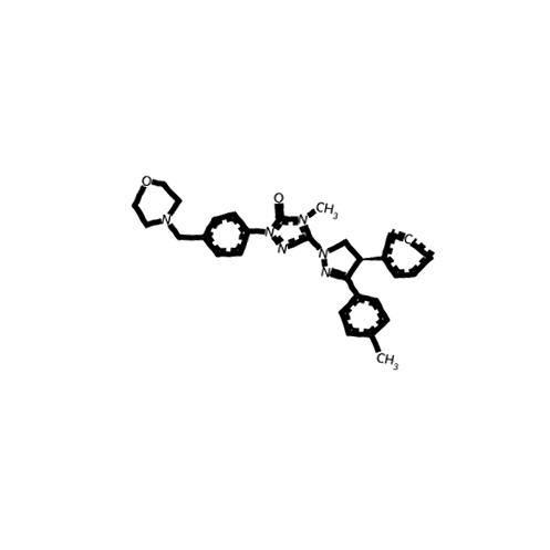 Cc1ccc(C2=NN(c3nn(-c4ccc(CN5CCOCC5)cc4)c(=O)n3C)C[C@H]2c2ccccc2)cc1